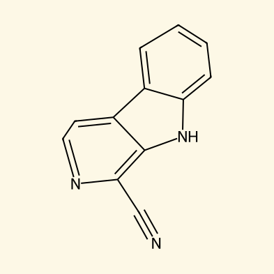 N#Cc1nccc2c1[nH]c1ccccc12